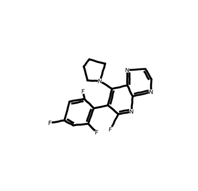 Fc1cc(F)c(-c2c(F)nc3nccnc3c2N2CCCC2)c(F)c1